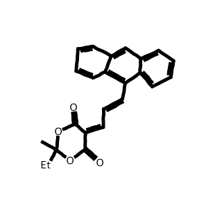 CCC1(C)OC(=O)C(=C/C=C/c2c3ccccc3cc3ccccc23)C(=O)O1